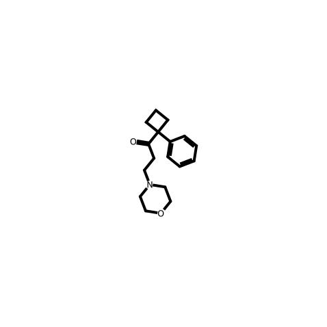 O=C(CCN1CCOCC1)C1(c2ccccc2)CCC1